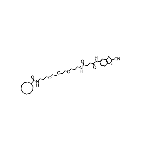 N#Cc1nc2ccc(NC(=O)CCC(=O)NCCCOCCOCCOCCCNC(=O)C3CCCCCCCCC3)cc2s1